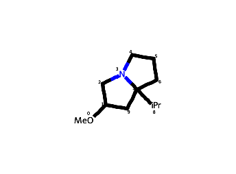 COC1CN2CCCC2(C(C)C)C1